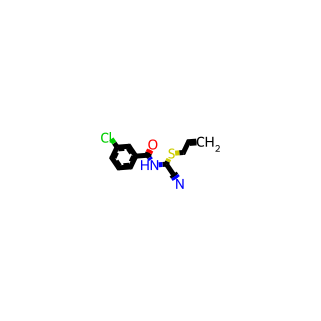 C=CCSC(C#N)NC(=O)c1cccc(Cl)c1